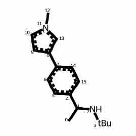 CC(NC(C)(C)C)c1ccc(-c2ccn(C)c2)cc1